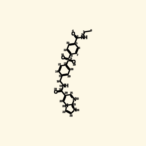 CCNC(=O)c1ccc(S(=O)(=O)c2ccc(CNC(=O)c3cnc4nccn4c3)cc2)cc1